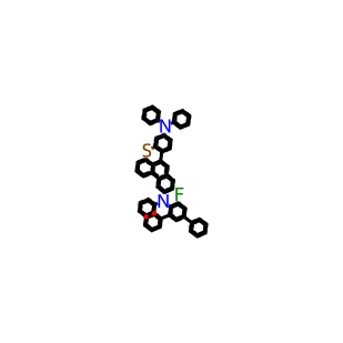 Fc1cc(-c2ccccc2)cc(-c2ccccc2)c1N(c1ccccc1)c1ccc2cc3c4c(cccc4c2c1)Sc1cc(N(c2ccccc2)c2ccccc2)ccc1-3